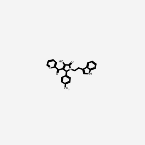 Cc1ccc(C2C(C(=O)c3ccccn3)=C(O)C(=O)N2CCc2c[nH]c3ccccc23)cc1